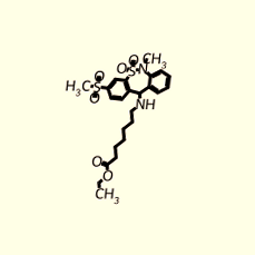 CCOC(=O)CCCCCCNC1c2ccccc2N(C)S(=O)(=O)c2cc(S(C)(=O)=O)ccc21